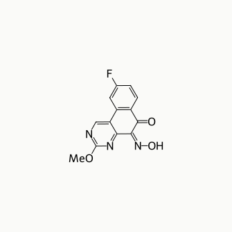 COc1ncc2c(n1)C(=NO)C(=O)c1ccc(F)cc1-2